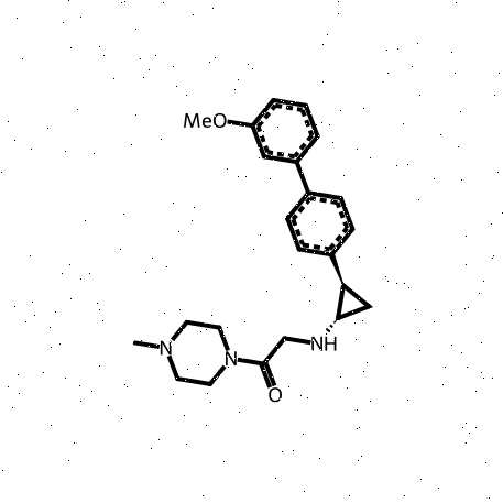 COc1cccc(-c2ccc([C@H]3C[C@@H]3NCC(=O)N3CCN(C)CC3)cc2)c1